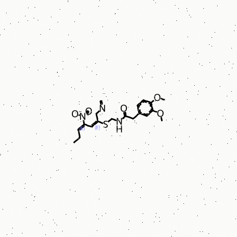 C=NC/C(=C\C(=C/CC)[N+](=O)[O-])SCNC(=O)Cc1ccc(OC)c(OC)c1